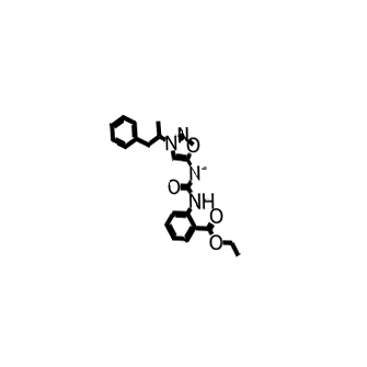 CCOC(=O)c1ccccc1NC(=O)[N-]c1c[n+](C(C)Cc2ccccc2)no1